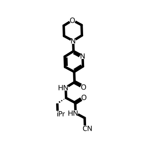 CC(C)C[C@H](NC(=O)c1ccc(N2CCOCC2)nc1)C(=O)NCC#N